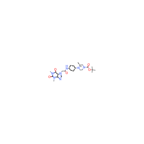 C[C@H]1CN(C(=O)OC(C)(C)C)CCN1c1ccc(NC(=O)Cn2cnc3c2c(=O)n(C)c(=O)n3C)cc1